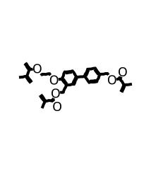 C=C(C)C(=C)OCCOc1ccc(-c2ccc(COC(=O)C(=C)C)cc2)cc1COC(=O)C(=C)C